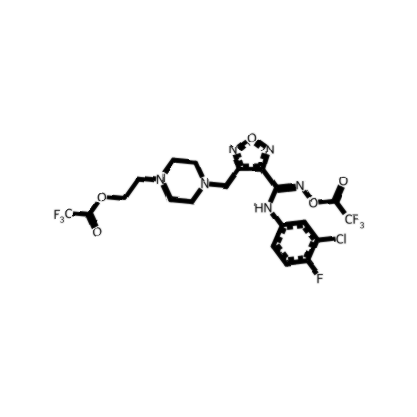 O=C(OCCN1CCN(Cc2nonc2C(=NOC(=O)C(F)(F)F)Nc2ccc(F)c(Cl)c2)CC1)C(F)(F)F